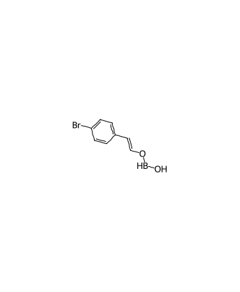 OBOC=Cc1ccc(Br)cc1